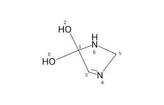 OC1(O)C=NCN1